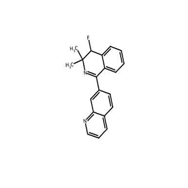 CC1(C)N=C(c2ccc3cccnc3c2)c2ccccc2C1F